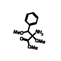 COC(=O)[C@](N)(OC)C(OC)c1ccccc1